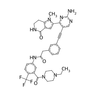 CCN1CCN(C(=O)c2cc(NC(=O)Cc3cccc(C#Cc4cnc(N)nc4-c4cc5c(n4C)CCNC5=O)c3)ccc2C(F)(F)F)CC1